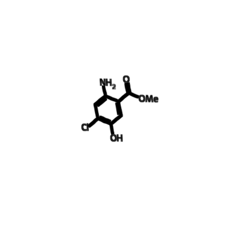 COC(=O)c1cc(O)c(Cl)cc1N